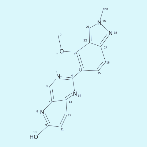 COc1c(-c2ncc3nc(O)ccc3n2)ccc2nn(C)cc12